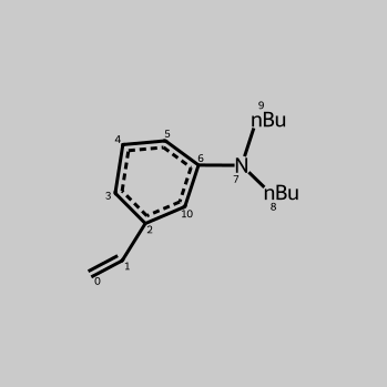 C=Cc1cccc(N(CCCC)CCCC)c1